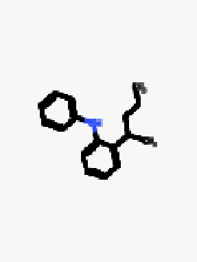 CCCC(C)c1ccccc1Nc1ccccc1